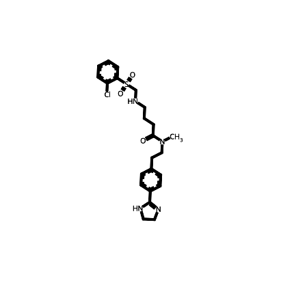 CN(CCc1ccc(C2=NCCN2)cc1)C(=O)CCCNCS(=O)(=O)c1ccccc1Cl